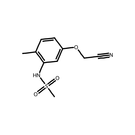 Cc1ccc(OCC#N)cc1NS(C)(=O)=O